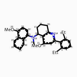 CCc1cccc(CC)c1-c1cc(OC)c2c(n1)CCCC2N(C)c1ccc(OC)c2ccccc12